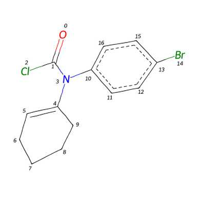 O=C(Cl)N(C1=CCCCC1)c1ccc(Br)cc1